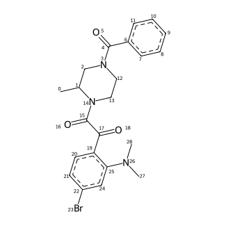 CC1CN(C(=O)c2ccccc2)CCN1C(=O)C(=O)c1ccc(Br)cc1N(C)C